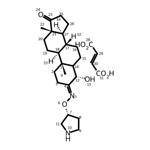 C[C@]12CC/C(=N\O[C@@H]3CCNC3)[C@@H](O)C1CC[C@@H]1[C@@H]2CC[C@]2(C)C(=O)CC[C@@H]12.O=C(O)/C=C/C(=O)O